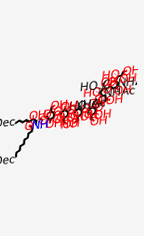 CCCCCCCCCCCCC/C=C/[C@@H](O)[C@H](CO[C@@H]1OC(CO)[C@@H](O[C@@H]2OC(CO)[C@H](O)[C@H](O[C@@H]3OC(CO)[C@@H](O)[C@H](O[C@@H]4OC(CO)[C@H](O)[C@H](O[C@]5(C(=O)O)CC(O)[C@@H](NC(C)=O)C([C@H](O)[C@@H](CO)O[C@]6(C(=O)O)CC(O)[C@@H](NC(C)=O)C([C@H](O)[C@H](O)CO)O6)O5)C4O)C3NC(C)=O)C2O)[C@H](O)C1O)NC(=O)CCCCCCCCCCCCCCCCCCC